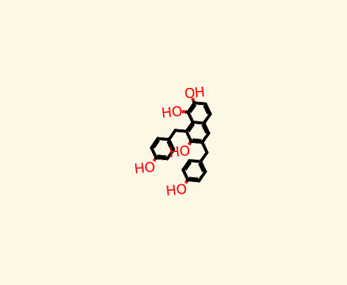 Oc1ccc(Cc2cc3ccc(O)c(O)c3c(Cc3ccc(O)cc3)c2O)cc1